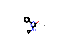 COc1cc(NC2CC2)nc(-c2ccccc2)n1